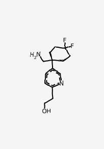 NCC1(c2ccc(CCO)nc2)CCC(F)(F)CC1